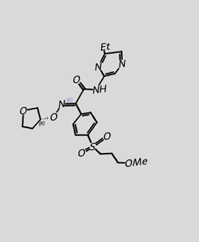 CCc1cncc(NC(=O)/C(=N/O[C@@H]2CCOC2)c2ccc(S(=O)(=O)CCCOC)cc2)n1